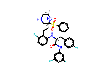 C[C@H]1CNC[C@](CCc2c(F)cccc2N[C@@H](Cc2ccc(F)cc2)C(=O)Nc2cc(F)cc(F)c2)(S(=O)(=O)c2ccccc2)N1